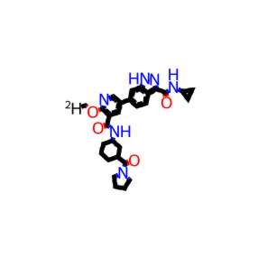 [2H]COc1ncc(-c2ccc3c(C(=O)NC4CC4)n[nH]c3c2)cc1C(=O)NC1CCCC(C(=O)N2CCCC2)C1